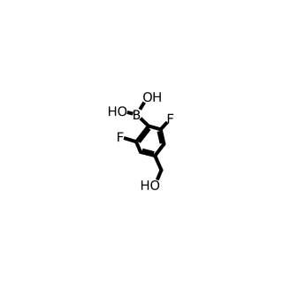 OCc1cc(F)c(B(O)O)c(F)c1